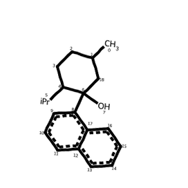 CC1CCC(C(C)C)C(O)(c2cccc3ccccc23)C1